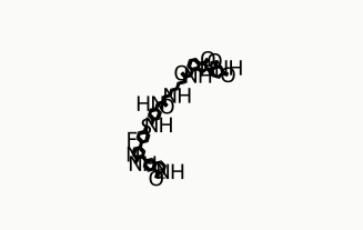 Nc1ncc(-c2ccc(SNc3ccc(NC(=O)CNCCCCC(=O)Nc4cccc5c4CN(C4CCC(=O)NC4=O)C5=O)cc3)cc2F)cc1-c1ccc2c(c1)CCNC2=O